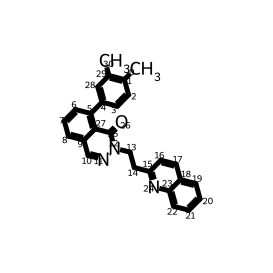 Cc1ccc(-c2cccc3cnn(CCc4ccc5ccccc5n4)c(=O)c23)cc1C